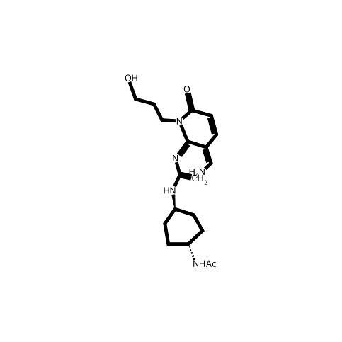 C=C(/N=C1\C(=C/N)C=CC(=O)N1CCCO)N[C@H]1CC[C@H](NC(C)=O)CC1